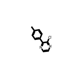 Cc1ccc(-c2nccnc2Cl)cc1